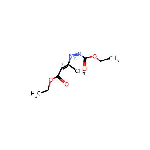 CCOC(=O)/C=C(C)/N=N\C(=O)OCC